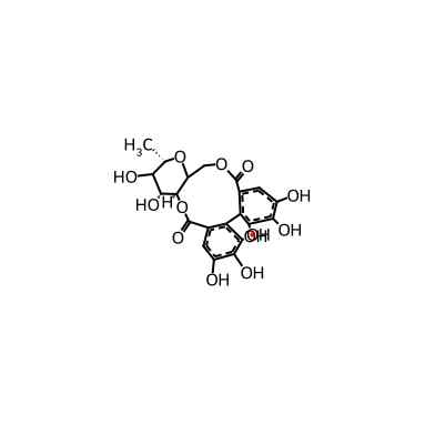 C[C@@H]1OC2COC(=O)c3cc(O)c(O)c(O)c3-c3c(cc(O)c(O)c3O)C(=O)O[C@H]2[C@H](O)C1O